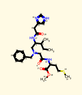 CCC(C)C(CN(CC(=O)NC(CCSC)C(=O)OC)Cc1ccccc1)NC(=O)Cc1c[nH]cn1